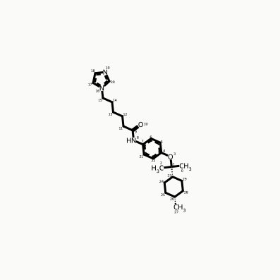 CC(C)(Oc1ccc(NC(=O)CCCCCn2ccnc2)cc1)[C@H]1CC[C@@H](C)CC1